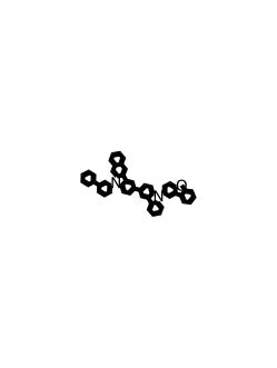 c1ccc(-c2cccc(-n3c4ccc(-c5ccc6c(c5)c5ccccc5n6-c5ccc6oc7ccccc7c6c5)cc4c4cc5ccccc5cc43)c2)cc1